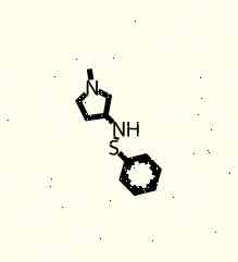 CN1CCC(NSc2ccccc2)C1